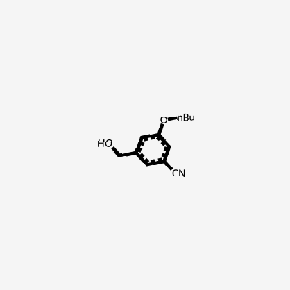 CCCCOc1cc(C#N)cc(CO)c1